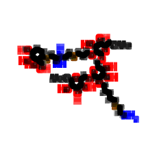 COCC1OC(OCC2OC(OCC3OC(OC)C(O)C(O)C3O)C(OCCCCCSCCN)C(O)C2O)C(OCCCSCCNC(=N)CSC2CCC(O)C(O)C2(O)CO)C(O)C1O